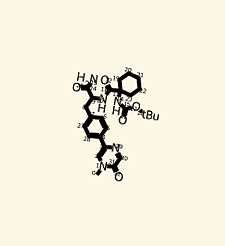 Cn1cc(-c2ccc(CC(NC(=O)C3(NC(=O)OC(C)(C)C)CCCCC3)C(N)=O)cc2)ncc1=O